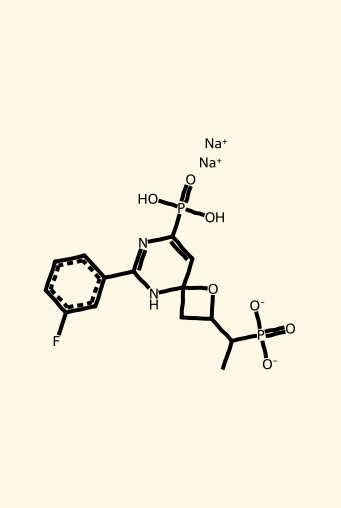 CC(C1CC2(C=C(P(=O)(O)O)N=C(c3cccc(F)c3)N2)O1)P(=O)([O-])[O-].[Na+].[Na+]